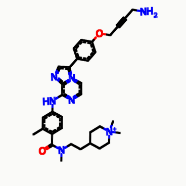 Cc1cc(Nc2nccn3c(-c4ccc(OCC#CCN)cc4)cnc23)ccc1C(=O)N(C)CCC1CC[N+](C)(C)CC1